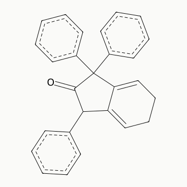 O=C1C(c2ccccc2)C2=CCCC=C2C1(c1ccccc1)c1ccccc1